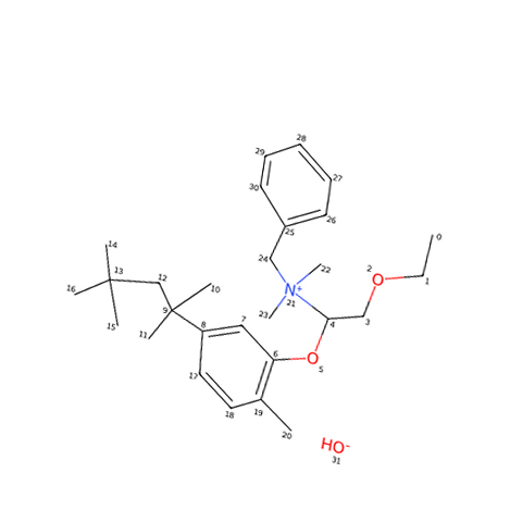 CCOCC(Oc1cc(C(C)(C)CC(C)(C)C)ccc1C)[N+](C)(C)Cc1ccccc1.[OH-]